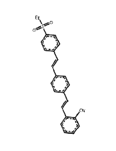 CCS(=O)(=O)c1ccc(/C=C/c2ccc(/C=C/c3ccccc3C#N)cc2)cc1